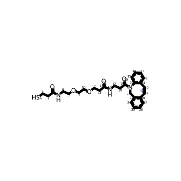 O=C(CCS)NCCOCCOCCC(=O)NCCC(=O)N1Cc2ccccc2/C=C\c2ccccc21